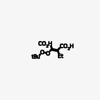 CCC(C(=O)O)=C(OOC(C)(C)C)C(=O)O